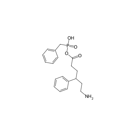 NCCC(CCC(=O)OP(=O)(O)Cc1ccccc1)c1ccccc1